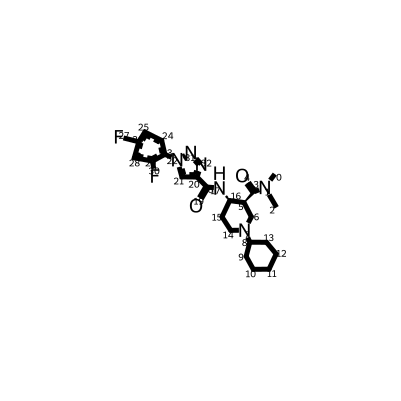 CN(C)C(=O)[C@H]1CN(C2CCCCC2)CC[C@@H]1NC(=O)c1cn(-c2ccc(F)cc2F)nn1